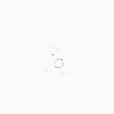 COc1cc(C(=O)NC2CCCOC2)ccc1N